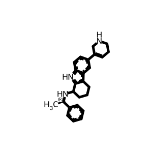 C[C@@H](NC1CCCc2c1[nH]c1ccc(C3=CCCNC3)cc21)c1ccccc1